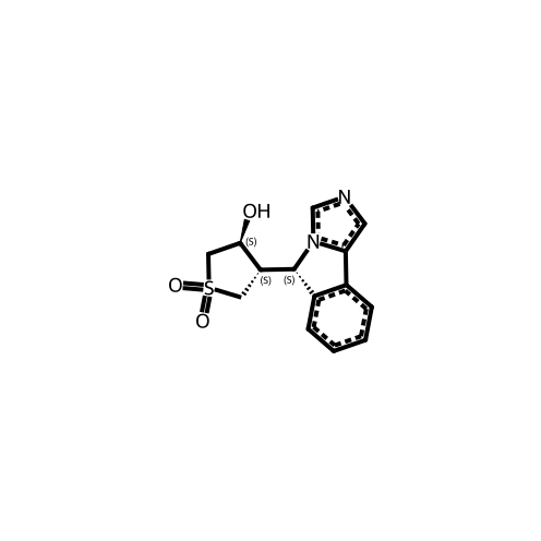 O=S1(=O)C[C@@H]([C@H]2c3ccccc3-c3cncn32)[C@H](O)C1